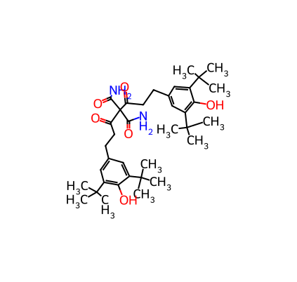 CC(C)(C)c1cc(CCC(=O)C(C(N)=O)(C(N)=O)C(=O)CCc2cc(C(C)(C)C)c(O)c(C(C)(C)C)c2)cc(C(C)(C)C)c1O